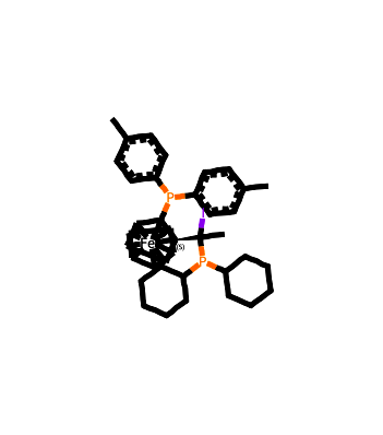 Cc1ccc(P(c2ccc(C)cc2)[C]23[CH]4[CH]5[CH]6[C@]2(C(C)(I)P(C2CCCCC2)C2CCCCC2)[Fe]54632789[CH]3[CH]2[CH]7[CH]8[CH]39)cc1